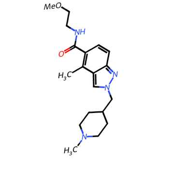 COCCNC(=O)c1ccc2nn(CC3CCN(C)CC3)cc2c1C